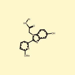 COc1cccc(-c2nc3cc(O)ccc3n2CC(=O)NC(C)C)n1